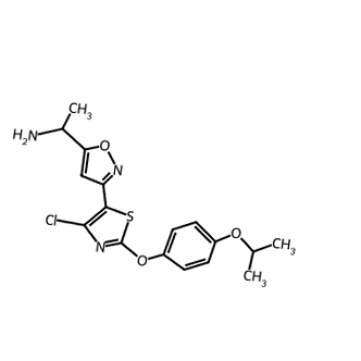 CC(C)Oc1ccc(Oc2nc(Cl)c(-c3cc(C(C)N)on3)s2)cc1